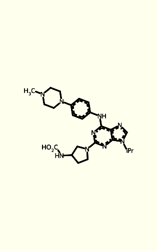 CC(C)n1cnc2c(Nc3ccc(N4CCN(C)CC4)cc3)nc(N3CCC(NC(=O)O)C3)nc21